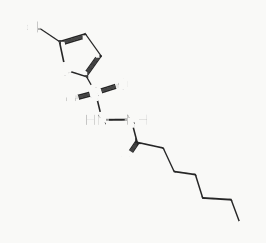 CCCCCCC(=O)NNS(=O)(=O)c1ccc(Cl)s1